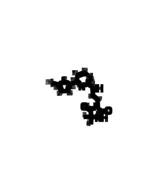 CC1(C)NC(=O)N(CCNc2nccc(-c3ccc(I)s3)n2)C1=O